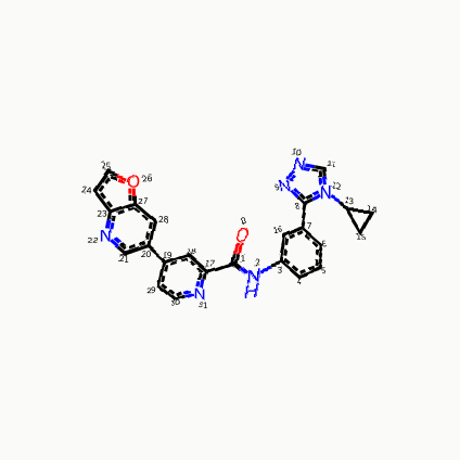 O=C(Nc1cccc(-c2nncn2C2CC2)c1)c1cc(-c2cnc3ccoc3c2)ccn1